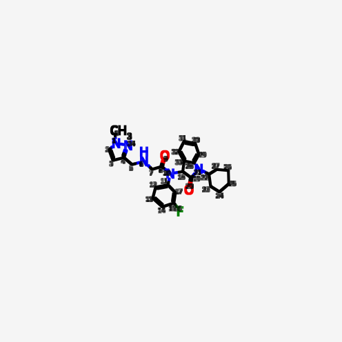 Cn1ccc(CNCC(=O)N(c2cccc(F)c2)C2C(=O)N(C3CCCCC3)c3ccccc32)n1